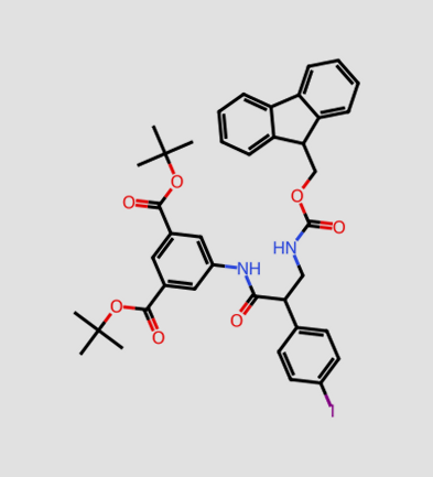 CC(C)(C)OC(=O)c1cc(NC(=O)C(CNC(=O)OCC2c3ccccc3-c3ccccc32)c2ccc(I)cc2)cc(C(=O)OC(C)(C)C)c1